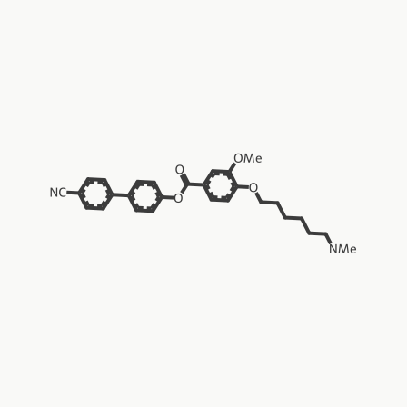 CNCCCCCCOc1ccc(C(=O)Oc2ccc(-c3ccc(C#N)cc3)cc2)cc1OC